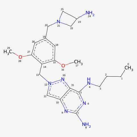 CCCCNc1nc(N)nc2cn(Cc3c(OC)cc(CN4CC(N)C4)cc3OC)nc12